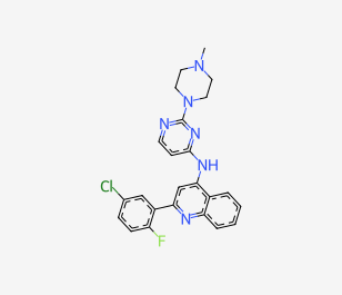 CN1CCN(c2nccc(Nc3cc(-c4cc(Cl)ccc4F)nc4ccccc34)n2)CC1